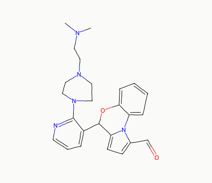 CN(C)CCN1CCN(c2ncccc2C2Oc3ccccc3-n3c(C=O)ccc32)CC1